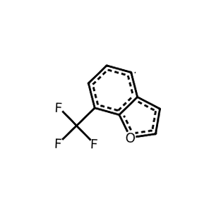 FC(F)(F)c1cc[c]c2ccoc12